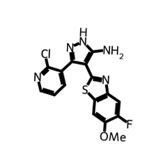 COc1cc2sc(-c3c(-c4cccnc4Cl)n[nH]c3N)nc2cc1F